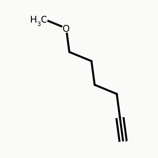 [C]#CCCCCOC